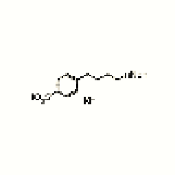 CCCCCCCCCCCCCc1ccc(S(=O)(=O)O)cc1.[KH]